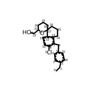 CCc1ccc(Cc2c(Cl)ccc3c2CCCC32CCCC(CO)O2)cc1